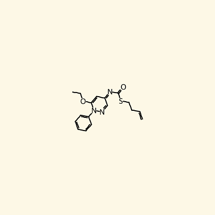 C=CCCSC(=O)N=c1cnn(-c2ccccc2)c(OCC)c1